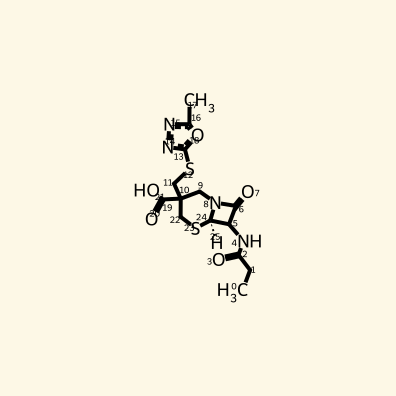 CCC(=O)NC1C(=O)N2CC(CSc3nnc(C)o3)(C(=O)O)CS[C@H]12